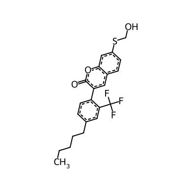 CCCCCc1ccc(-c2cc3ccc(SCO)cc3oc2=O)c(C(F)(F)F)c1